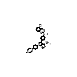 CN1CCN(C2CCC(n3cc(-c4ccc(Nc5ncc6c(Cl)cccc6n5)cc4)c4c(N)ncnc43)CC2)CC1